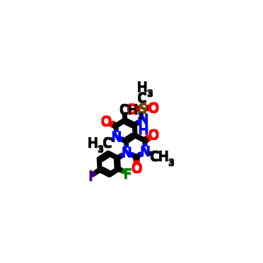 Cc1c(NS(C)(=O)=O)c2c(=O)n(C)c(=O)n(-c3ccc(I)cc3F)c2n(C)c1=O